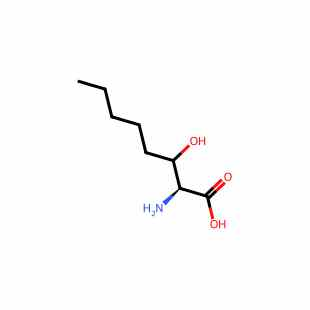 CCCCCC(O)[C@H](N)C(=O)O